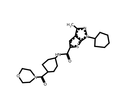 Cc1nn(C2CCCCC2)c2sc(C(=O)NC3CCC(C(=O)N4CCOCC4)CC3)cc12